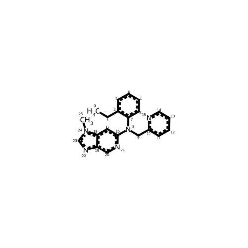 CCc1ccccc1N(Cc1ccccn1)c1cc2c(cn1)ncn2C